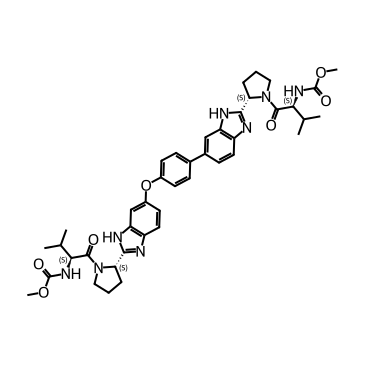 COC(=O)N[C@H](C(=O)N1CCC[C@H]1c1nc2ccc(Oc3ccc(-c4ccc5nc([C@@H]6CCCN6C(=O)[C@@H](NC(=O)OC)C(C)C)[nH]c5c4)cc3)cc2[nH]1)C(C)C